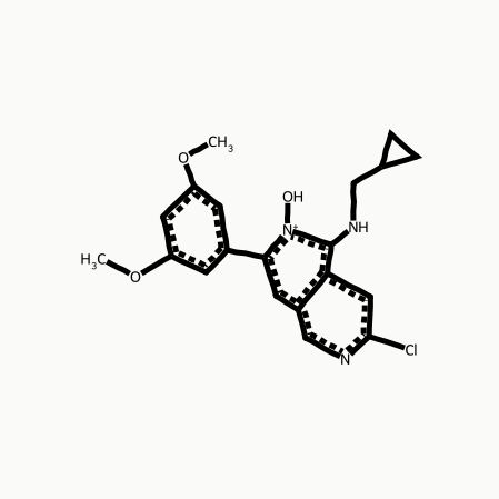 COc1cc(OC)cc(-c2cc3cnc(Cl)cc3c(NCC3CC3)[n+]2O)c1